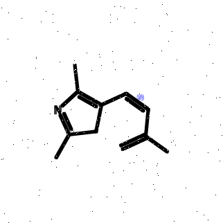 C=C(C)/C=C\C1=C(C)N=C(C)C1